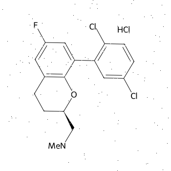 CNC[C@H]1CCc2cc(F)cc(-c3cc(Cl)ccc3Cl)c2O1.Cl